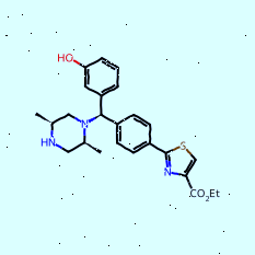 CCOC(=O)c1csc(-c2ccc([C@H](c3cccc(O)c3)N3C[C@H](C)NC[C@@H]3C)cc2)n1